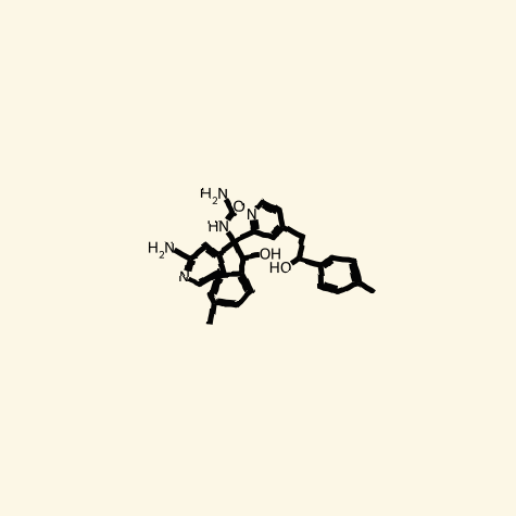 Cc1ccc(C(O)Cc2ccnc(C(NC(N)=O)(c3ccnc(N)c3)C(O)c3ccc(C)cc3)c2)cc1